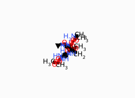 C=Cc1cc(C(=O)Nc2ccc(C(=N)NC(=O)OC(C)OC(C)=O)cc2)c(-c2ccc(C(=O)NCC3CC3)nc2C(=O)OCOC(=O)[C@@H](N)C(C)C)cc1OC